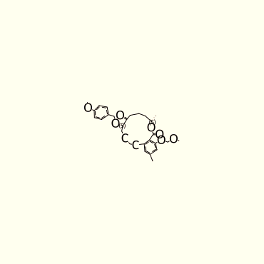 COCOc1cc(C)cc2c1C(=O)O[C@@H](C)CCCC(=O)[C@@H](OCc1ccc(OC)cc1)CCCC2